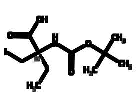 CC[C@@](CI)(NC(=O)OC(C)(C)C)C(=O)O